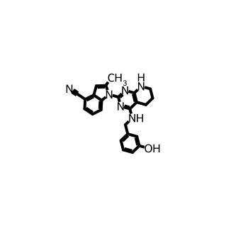 Cc1cc2c(C#N)cccc2n1-c1nc2c(c(NCc3cccc(O)c3)n1)CCCN2